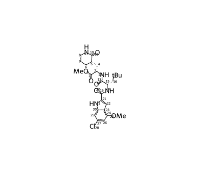 COC(=O)[C@H](C[C@@H]1CCCNC1=O)NC(=O)[C@H](CC(C)(C)C)NC(=O)c1cc2c(OC)cc(Cl)cc2[nH]1